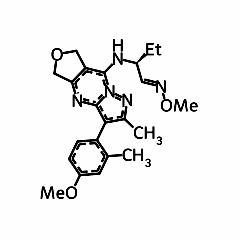 CC[C@@H](/C=N/OC)Nc1c2c(nc3c(-c4ccc(OC)cc4C)c(C)nn13)COC2